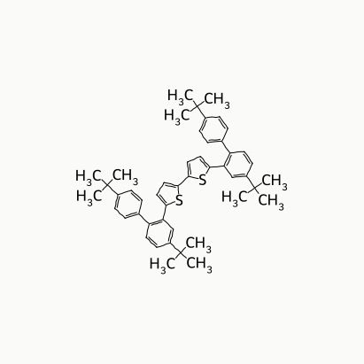 CC(C)(C)c1ccc(-c2ccc(C(C)(C)C)cc2-c2ccc(-c3ccc(-c4cc(C(C)(C)C)ccc4-c4ccc(C(C)(C)C)cc4)s3)s2)cc1